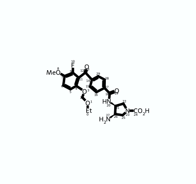 CCOCOc1ccc(OC)c(F)c1C(=O)c1ccc(C(=O)N[C@H]2CN(C(=O)O)C[C@H]2N)cc1